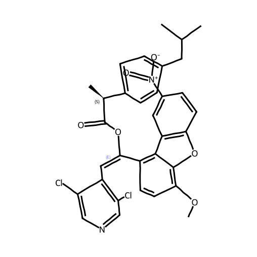 COc1ccc(/C(=C\c2c(Cl)cncc2Cl)OC(=O)[C@@H](C)c2ccc(CC(C)C)cc2)c2c1oc1ccc([N+](=O)[O-])cc12